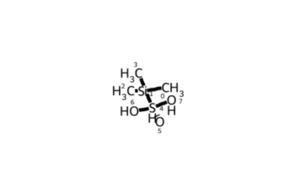 C[Si](C)(C)[SH](=O)(O)O